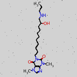 CCCNCC(O)CCCCCCCCCn1c(=O)c2c(ncn2C)n(C)c1=O